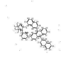 CC1=NC(C)(C)C(C)(C)N1c1cccc(-c2ccc3c(-c4ccc5ccccc5c4)c4ccccc4c(-c4ccc5ccccc5c4)c3c2)n1